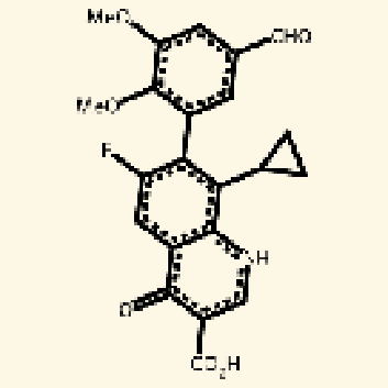 COc1cc(C=O)cc(-c2c(F)cc3c(=O)c(C(=O)O)c[nH]c3c2C2CC2)c1OC